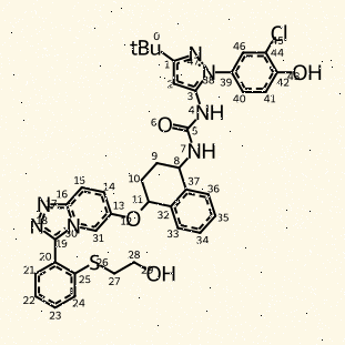 CC(C)(C)c1cc(NC(=O)NC2CCC(Oc3ccc4nnc(-c5ccccc5SCCO)n4c3)c3ccccc32)n(-c2ccc(O)c(Cl)c2)n1